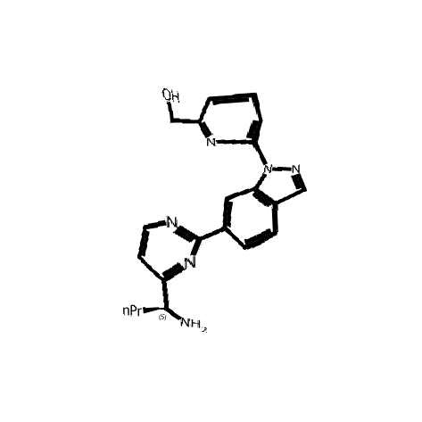 CCC[C@H](N)c1ccnc(-c2ccc3cnn(-c4cccc(CO)n4)c3c2)n1